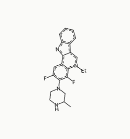 CCn1cc2c3ccccc3nc-2c2cc(F)c(N3CCNC(C)C3)c(F)c21